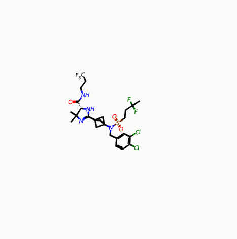 CC(F)(F)CCS(=O)(=O)N(Cc1ccc(Cl)c(Cl)c1)C12CC(C3=NC(C)(C)[C@H](C(=O)NCCC(F)(F)F)N3)(C1)C2